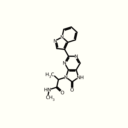 CNC(=O)C(C)n1c(=O)[nH]c2cnc(-c3cnn4ccccc34)nc21